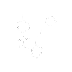 CCc1ccc(S(=O)(=O)Nc2nccnc2OCCc2cccs2)cc1